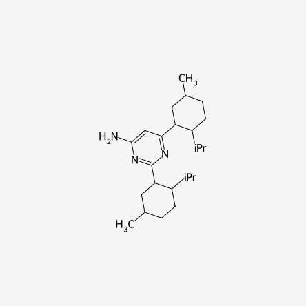 CC1CCC(C(C)C)C(c2cc(N)nc(C3CC(C)CCC3C(C)C)n2)C1